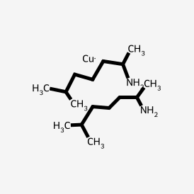 CC(C)CCCC(C)N.CC(C)CCCC(C)N.[Cu]